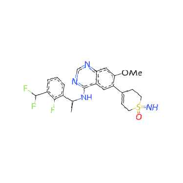 COc1cc2ncnc(NC(C)c3cccc(C(F)F)c3F)c2cc1C1=CCS(=N)(=O)CC1